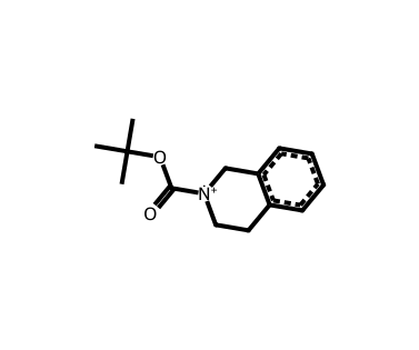 CC(C)(C)OC(=O)[N+]1CCc2ccccc2C1